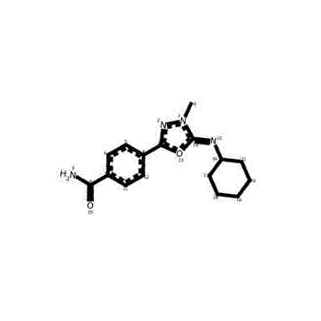 Cn1nc(-c2ccc(C(N)=O)cc2)oc1=NC1CCCCC1